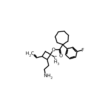 C=CC1C[C@](C)(OC(=O)C2(c3cccc(F)c3)CCCCCC2)C1CCN